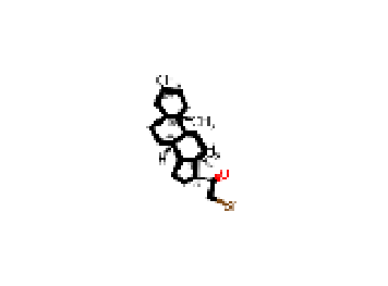 C[C@H]1CC[C@@]2(C)C(CC[C@@H]3C2CC[C@@]2(C)C3CC[C@@H]2C(=O)CBr)C1